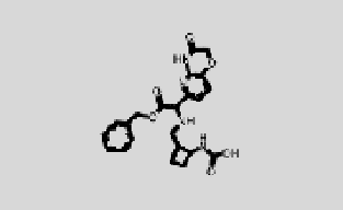 O=C(O)NC1CCC1CNC(C(=O)OCc1ccccc1)c1ccc2c(n1)NC(=O)CO2